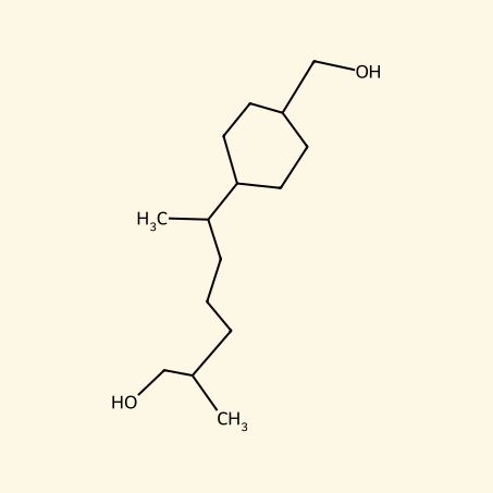 CC(CO)CCCC(C)C1CCC(CO)CC1